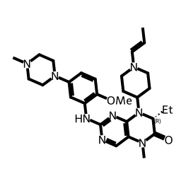 CC=CN1CCC(N2c3nc(Nc4cc(N5CCN(C)CC5)ccc4OC)ncc3N(C)C(=O)[C@H]2CC)CC1